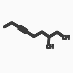 CCC#CCCC(O)CO